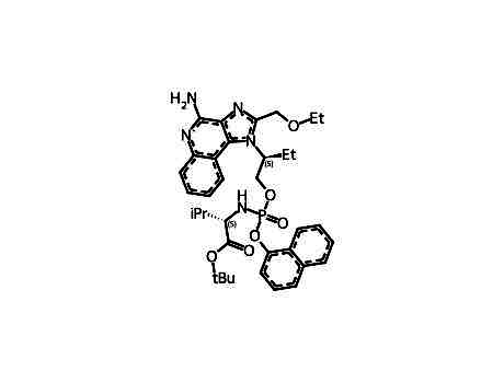 CCOCc1nc2c(N)nc3ccccc3c2n1[C@@H](CC)COP(=O)(N[C@H](C(=O)OC(C)(C)C)C(C)C)Oc1cccc2ccccc12